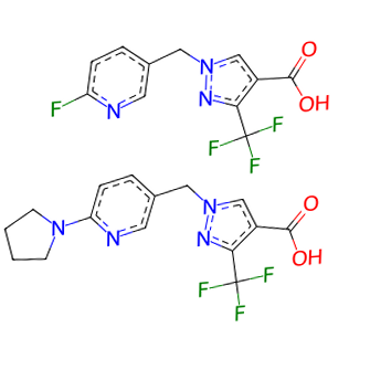 O=C(O)c1cn(Cc2ccc(F)nc2)nc1C(F)(F)F.O=C(O)c1cn(Cc2ccc(N3CCCC3)nc2)nc1C(F)(F)F